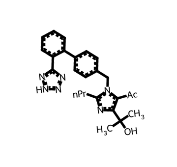 CCCc1nc(C(C)(C)O)c(C(C)=O)n1Cc1ccc(-c2ccccc2-c2nn[nH]n2)cc1